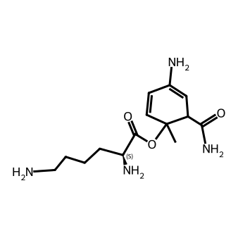 CC1(OC(=O)[C@@H](N)CCCCN)C=CC(N)=CC1C(N)=O